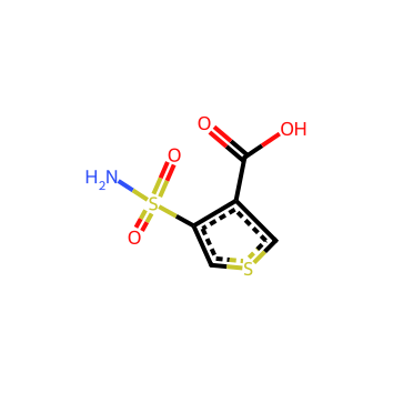 NS(=O)(=O)c1cscc1C(=O)O